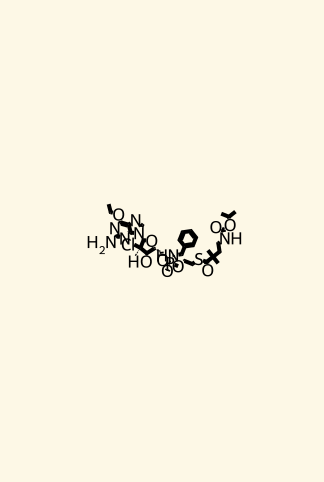 CCOc1nc(N)nc2c1ncn2[C@@H]1O[C@H](CO[P@](=O)(NCc2ccccc2)OCCSC(=O)C(C)(C)CCNC(=O)OC(C)C)[C@@H](O)[C@@]1(C)Cl